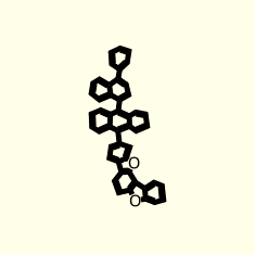 c1ccc(-c2ccc(-c3c4ccccc4c(-c4ccc5c(c4)oc4c5ccc5oc6ccccc6c54)c4ccccc34)c3ccccc23)cc1